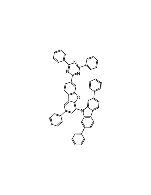 c1ccc(-c2cc(-n3c4cc(-c5ccccc5)ccc4c4ccc(-c5ccccc5)cc43)c3oc4cc(-c5nc(-c6ccccc6)nc(-c6ccccc6)n5)ccc4c3c2)cc1